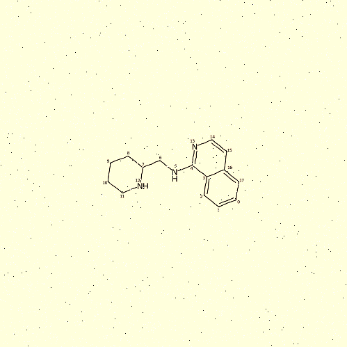 c1ccc2c(NCC3CCCCN3)nccc2c1